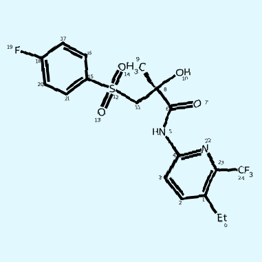 CCc1ccc(NC(=O)[C@@](C)(O)CS(=O)(=O)c2ccc(F)cc2)nc1C(F)(F)F